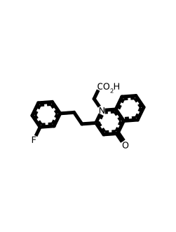 O=C(O)Cn1c(CCc2cccc(F)c2)cc(=O)c2ccccc21